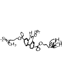 CCCOC1Nc2cc(C(=O)OCCCN(C)C)ccc2-c2ccc(C(=O)OCCCN(C)C)cc21